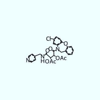 CC(=O)OC(C(=O)NCc1ccncc1)C(OC(C)=O)C(=O)N1Cc2ccccc2Oc2ccc(Cl)cc21